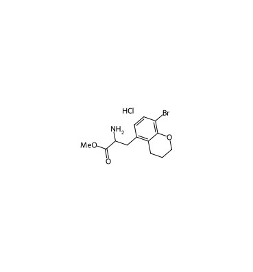 COC(=O)C(N)Cc1ccc(Br)c2c1CCCO2.Cl